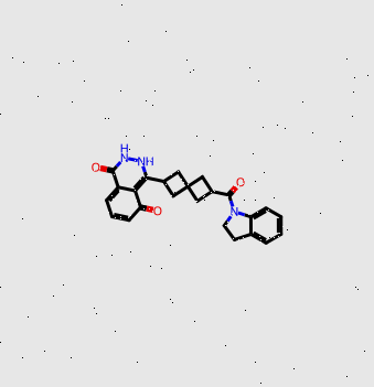 O=C(C1CC2(C1)CC(c1[nH][nH]c(=O)c3cccc(=O)c1-3)C2)N1CCc2ccccc21